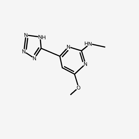 CNc1nc(OC)cc(-c2nnn[nH]2)n1